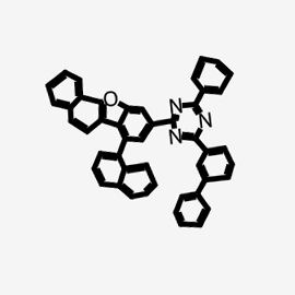 c1ccc(-c2cccc(-c3nc(-c4ccccc4)nc(-c4cc(-c5cccc6ccccc56)c5c(c4)oc4c6ccccc6ccc45)n3)c2)cc1